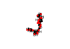 Cc1cc(Nc2ncc(Cl)c(Nc3ccccc3S(=O)(=O)C(C)C)n2)c(OC(C)C)cc1C1CCN(C(=O)CCCCC(=O)N[C@H](C(=O)N2C[C@H](O)C[C@H]2C(=O)NCc2ccc(-c3scnc3C)cc2)C(C)(C)C)CC1